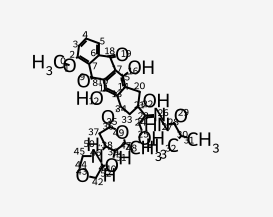 COc1cccc2c1C(=O)c1c(O)c3c(c(O)c1C2=O)C[C@@](O)(/C(CO)=N/NC(=O)C(C)C)C[C@@H]3O[C@H]1C[C@H]2[C@H](O[C@@H]3COCCN32)[C@H](C)O1